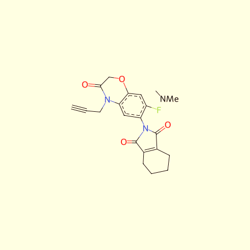 C#CCN1C(=O)COc2cc(F)c(N3C(=O)C4=C(CCCC4)C3=O)cc21.CNC